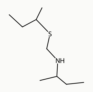 CCC(C)NCSC(C)CC